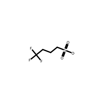 [O]S(=O)(=O)CCCC(F)(F)F